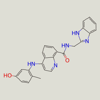 Cc1ccc(O)cc1Nc1ccnc2c(C(=O)NCc3nc4ccccc4[nH]3)cccc12